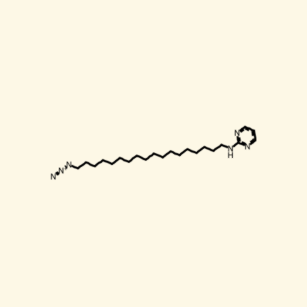 [N-]=[N+]=NCCCCCCCCCCCCCCCCCCNc1ncccn1